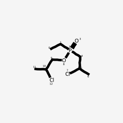 CCP(=O)(CC(C)Cl)OCC(C)Cl